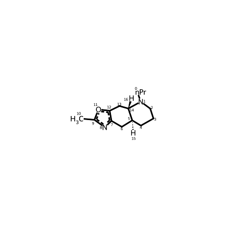 CCCN1CCC[C@H]2Cc3nc(C)oc3C[C@@H]21